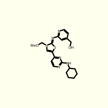 COCn1cc(-c2ccnc(NC3CCCCC3)n2)s/c1=N\c1cc(CO)ccn1